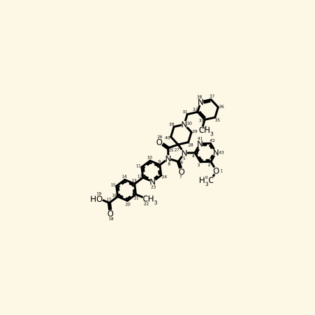 COc1cc(N2C(=O)N(c3ccc(-c4ccc(C(=O)O)cc4C)nc3)C(=O)C23CCN(CC2=C(C)CCC=N2)CC3)ncn1